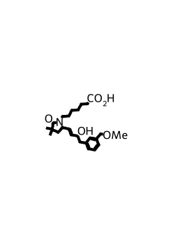 COCc1cccc(CC(O)C=CC2CC(C)(C)C(=O)N2CCCCCCC(=O)O)c1